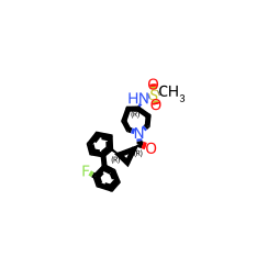 CS(=O)(=O)N[C@@H]1CCCN(C(=O)[C@@H]2C[C@H]2c2ccccc2-c2ccccc2F)CC1